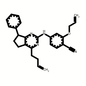 C=CCCc1nc(Nc2ccc(C#N)c(OCC=C)c2)nc2c1CCC2c1ccccc1